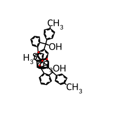 Cc1ccc(C(O)(c2ccc(C)cc2)c2ccccc2-c2cc3sc(-c4ccccc4C(O)(c4ccc(C)cc4)c4ccc(C)cc4)cc3s2)cc1